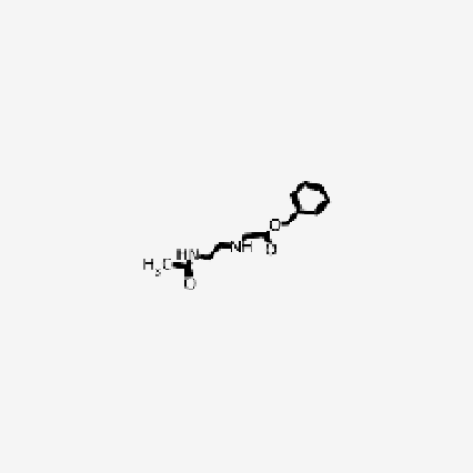 CC(=O)NCCNCC(=O)OCc1ccccc1